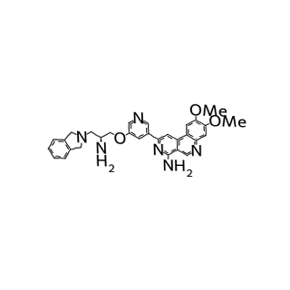 COc1cc2ncc3c(N)nc(-c4cncc(OC[C@@H](N)CN5Cc6ccccc6C5)c4)cc3c2cc1OC